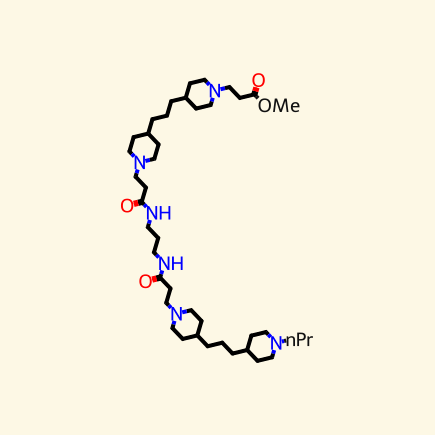 CCCN1CCC(CCCC2CCN(CCC(=O)NCCCNC(=O)CCN3CCC(CCCC4CCN(CCC(=O)OC)CC4)CC3)CC2)CC1